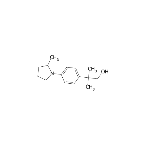 CC1CCCN1c1ccc(C(C)(C)CO)cc1